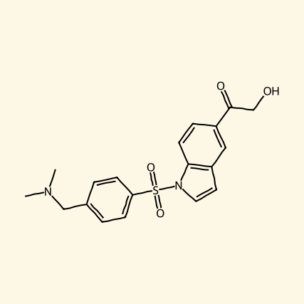 CN(C)Cc1ccc(S(=O)(=O)n2ccc3cc(C(=O)CO)ccc32)cc1